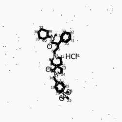 CN(C(=O)C(CCN1CCC2(CC1)CCN(Cc1ccc(S(C)(=O)=O)cc1)C2=O)c1ccccc1)C1CCCCC1.Cl